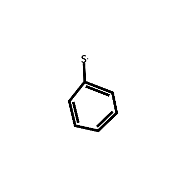 [S]c1ccccc1